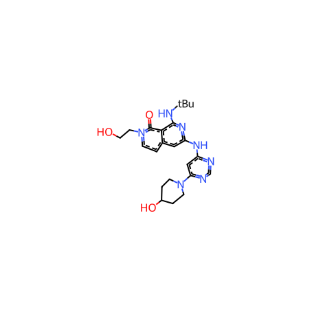 CC(C)(C)Nc1nc(Nc2cc(N3CCC(O)CC3)ncn2)cc2ccn(CCO)c(=O)c12